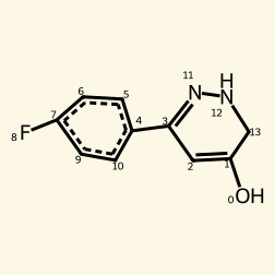 OC1=CC(c2ccc(F)cc2)=NNC1